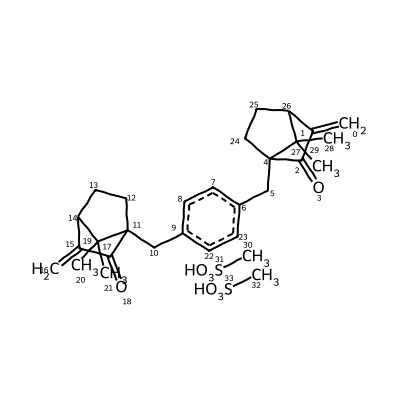 C=C1C(=O)C2(Cc3ccc(CC45CCC(C(=C)C4=O)C5(C)C)cc3)CCC1C2(C)C.CS(=O)(=O)O.CS(=O)(=O)O